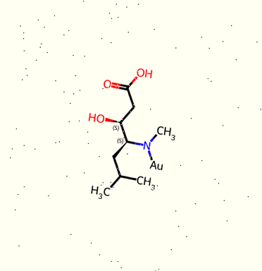 CC(C)C[C@@H]([C@@H](O)CC(=O)O)[N](C)[Au]